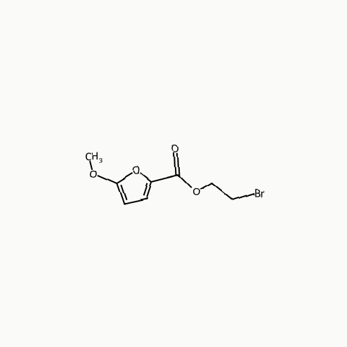 COc1ccc(C(=O)OCCBr)o1